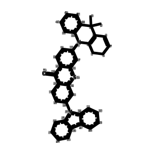 CC1(C)C2=C(CCC=C2)N(c2ccc3c(=O)c4ccc(-n5c6ccccc6c6ccccc65)cc4sc3c2)c2ccccc21